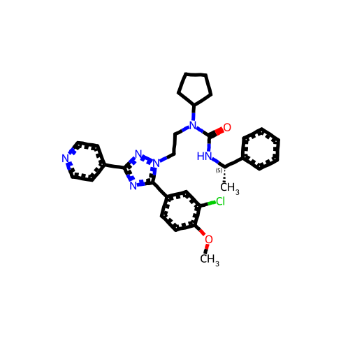 COc1ccc(-c2nc(-c3ccncc3)nn2CCN(C(=O)N[C@@H](C)c2ccccc2)C2CCCC2)cc1Cl